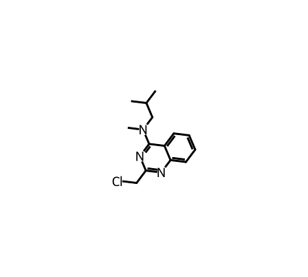 CC(C)CN(C)c1nc(CCl)nc2ccccc12